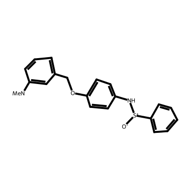 CNc1cccc(COc2ccc(N[S+]([O-])c3ccccc3)cc2)c1